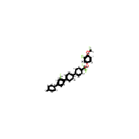 CC1CCC(c2ccc(C3CCC(C4CCC(C(F)(F)Oc5ccc(OCF)c(F)c5)CC4)CC3)c(F)c2)CC1